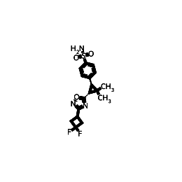 CC1(C)[C@H](c2ccc(S(N)(=O)=O)cc2)[C@H]1c1nc(C2CC(F)(F)C2)no1